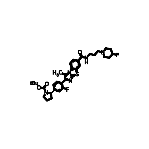 Cc1c(-c2ccc([C@H]3CCCN3C(=O)OC(C)(C)C)cc2F)nc2sc3cc(C(=O)NCCCN4CCC(F)CC4)ccc3n12